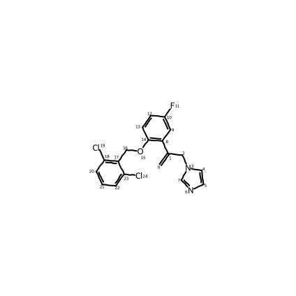 C=C(Cn1ccnc1)c1cc(F)ccc1OCc1c(Cl)cccc1Cl